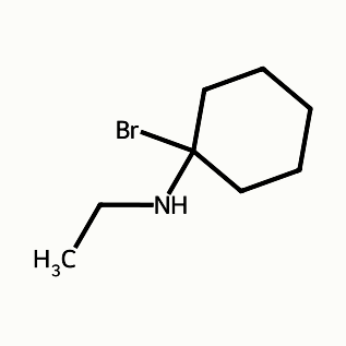 CCNC1(Br)CCCCC1